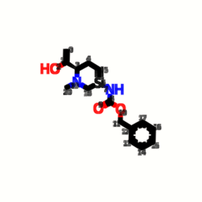 C=C(O)[C@H]1CC[Si@H](NC(=O)OCc2ccccc2)CN1C